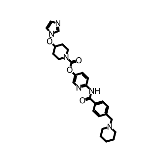 O=C(Nc1ccc(OC(=O)N2CCC(On3ccnc3)CC2)cn1)c1ccc(CN2CCCCC2)cc1